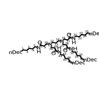 CCCCCCCCCCCCCCCNC(=O)CCN(CCCN(CCC(=O)NCCCCCCCCCCCCCCC)CCC(=O)NCCCCCCCCCCCCCCC)CCC(=O)NCCCCCCCCCCCCCCC